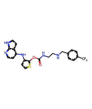 O=C(NCCNCc1ccc(C(F)(F)F)cc1)Oc1sccc1Nc1ccnc2[nH]ccc12